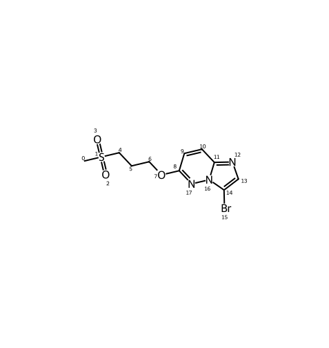 CS(=O)(=O)CCCOc1ccc2ncc(Br)n2n1